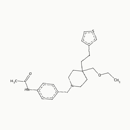 CCOCC1(CCc2ccsc2)CCN(Cc2ccc(NC(C)=O)cc2)CC1